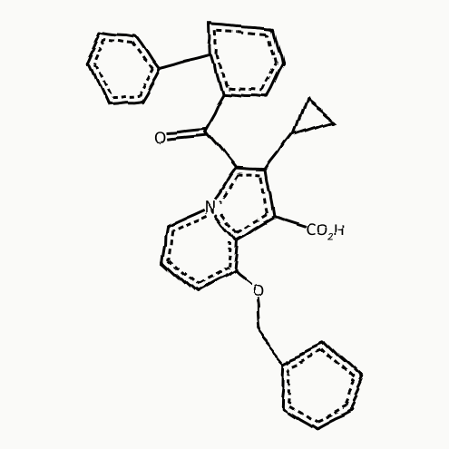 O=C(O)c1c(C2CC2)c(C(=O)c2ccccc2-c2ccccc2)n2cccc(OCc3ccccc3)c12